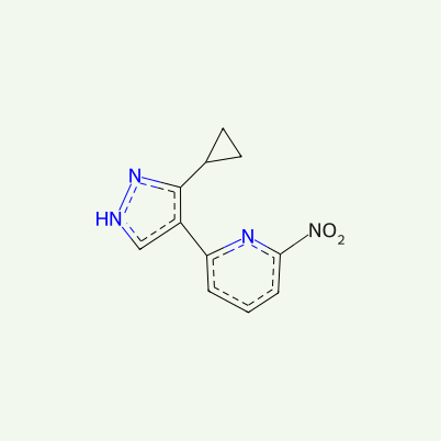 O=[N+]([O-])c1cccc(-c2c[nH]nc2C2CC2)n1